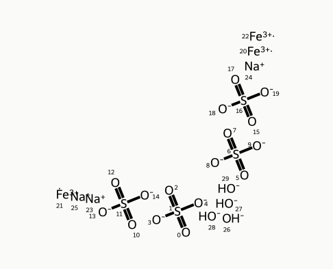 O=S(=O)([O-])[O-].O=S(=O)([O-])[O-].O=S(=O)([O-])[O-].O=S(=O)([O-])[O-].[Fe+3].[Fe+3].[Fe+3].[Na+].[Na+].[Na+].[OH-].[OH-].[OH-].[OH-]